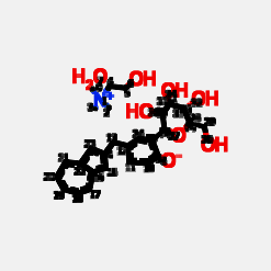 C[N+](C)(C)CCO.O.[O-]c1ccc(Cc2cc3cccccc-3c2)cc1[C@@H]1O[C@H](CO)[C@@H](O)[C@H](O)[C@H]1O